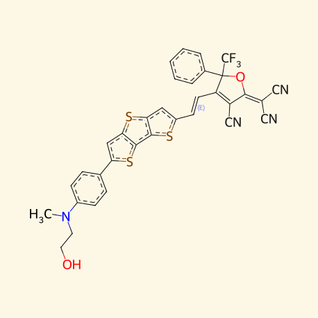 CN(CCO)c1ccc(-c2cc3sc4cc(/C=C/C5=C(C#N)C(=C(C#N)C#N)OC5(c5ccccc5)C(F)(F)F)sc4c3s2)cc1